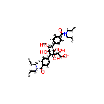 CCCN(CCC)C(=O)c1ccc(C2C(O)[C@@]3(O)C(c4ccc(C(=O)N(CCC)CCC)cc4)[C@@](O)([C@H](O)CO)[C@@]23O)cc1